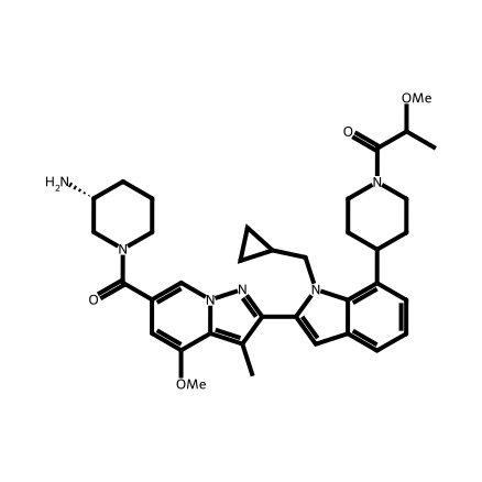 COc1cc(C(=O)N2CCC[C@@H](N)C2)cn2nc(-c3cc4cccc(C5CCN(C(=O)C(C)OC)CC5)c4n3CC3CC3)c(C)c12